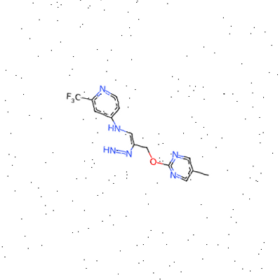 Cc1cnc(OC/C(=C/Nc2ccnc(C(F)(F)F)c2)N=N)nc1